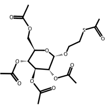 CC(=O)OC[C@H]1O[C@H](OCCSC(C)=O)[C@H](OC(C)=O)[C@@H](OC(C)=O)[C@@H]1OC(C)=O